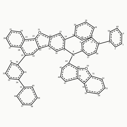 c1ccc(-c2ccc(N(c3cc4c(cc3-c3ccccc3)oc3c5ccccc5c(-c5cccc(-c6ccccc6)c5)cc43)c3cccc4c3oc3ccccc34)cc2)cc1